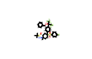 CC1(N[S+]([O-])C(C)(C)C)CCC(c2ccc(C(OCc3ccccc3)(C(F)(F)F)C(F)(F)F)cc2)(S(=O)(=O)c2ccc(F)cc2)CC1